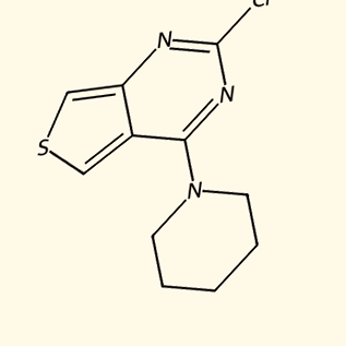 Clc1nc(N2CCCCC2)c2cscc2n1